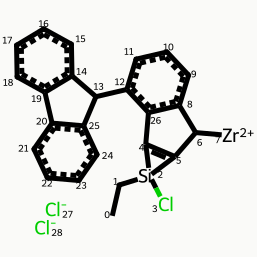 CC[Si]1(Cl)C2=C1[CH]([Zr+2])c1cccc(C3c4ccccc4-c4ccccc43)c12.[Cl-].[Cl-]